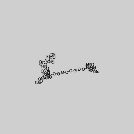 CC[C@@]1(O)C(=O)OCc2c1cc1n(c2=O)Cc2c-1nc1cc3c(cc1c2CNC(=O)CNC(=O)[C@H](CCCNC(=O)OC(C)(C)C)NC(=O)[C@@H](NC(=O)CCOCCOCCOCCOCCOCCOCCOCCOCCNC(=O)[C@H](NC(=O)OC(C)(C)C)N1C(=O)C=CC1=O)C(C)C)OCO3